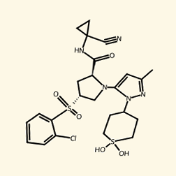 Cc1cc(N2C[C@H](S(=O)(=O)c3ccccc3Cl)C[C@H]2C(=O)NC2(C#N)CC2)n(C2CCS(O)(O)CC2)n1